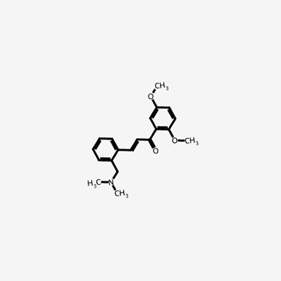 COc1ccc(OC)c(C(=O)C=Cc2ccccc2CN(C)C)c1